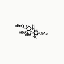 CCCCOC[C@H]1OC[C@H](Nc2cc(C#N)cc(OC)n2)[C@@H](OCCCC)[C@H]1OCCCC